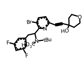 CC(C)(C)N(C(=O)O)C(Cc1cc(F)cc(F)c1)c1nc(C#CC2(O)CCOCC2)ccc1Br